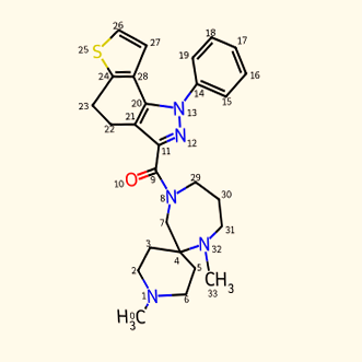 CN1CCC2(CC1)CN(C(=O)c1nn(-c3ccccc3)c3c1CCc1sccc1-3)CCCN2C